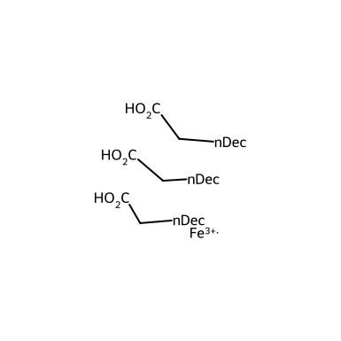 CCCCCCCCCCCC(=O)O.CCCCCCCCCCCC(=O)O.CCCCCCCCCCCC(=O)O.[Fe+3]